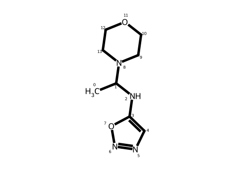 CC(Nc1[c]nno1)N1CCOCC1